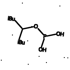 CCC(C)C(OP(O)O)C(C)CC